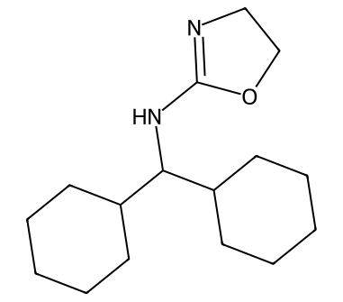 C1CCC(C(NC2=NCCO2)C2CCCCC2)CC1